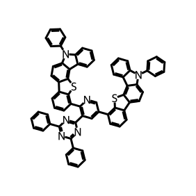 c1ccc(-c2nc(-c3ccccc3)nc(-c3cc(-c4cccc5c4sc4c5ccc5c4c4ccccc4n5-c4ccccc4)cnc3-c3cccc4c3sc3c4ccc4c3c3ccccc3n4-c3ccccc3)n2)cc1